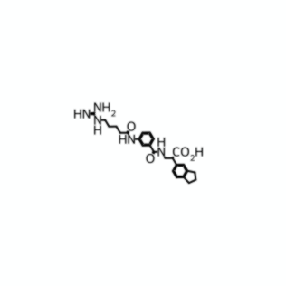 N=C(N)NCCCCC(=O)Nc1cccc(C(=O)NCC(C(=O)O)c2ccc3c(c2)CCC3)c1